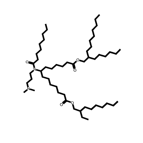 CCCCCCCCC(=O)N(CCCN(C)C)C(CCCCCCC(=O)OCC(CC)CCCCCCC)CCCCCC(=O)OCC(CCCCCC)CCCCCCCC